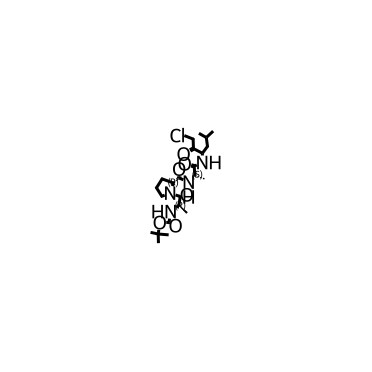 CC(C)CC(NC(=O)[C@H](C)NC(=O)[C@H]1CCCN1C(=O)[C@@H](C)NC(=O)OC(C)(C)C)C(=O)CCl